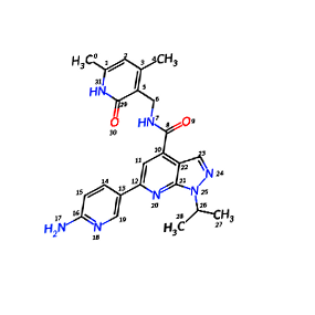 Cc1cc(C)c(CNC(=O)c2cc(-c3ccc(N)nc3)nc3c2cnn3C(C)C)c(=O)[nH]1